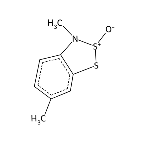 Cc1ccc2c(c1)S[S+]([O-])N2C